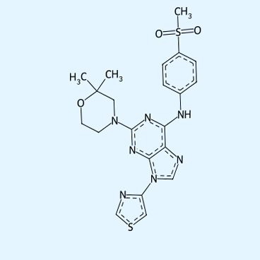 CC1(C)CN(c2nc(Nc3ccc(S(C)(=O)=O)cc3)c3ncn(-c4cscn4)c3n2)CCO1